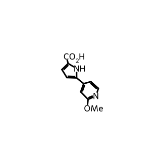 COc1cc(-c2ccc(C(=O)O)[nH]2)ccn1